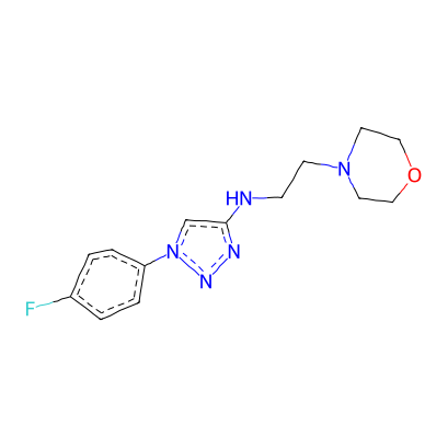 Fc1ccc(-n2cc(NCCN3CCOCC3)nn2)cc1